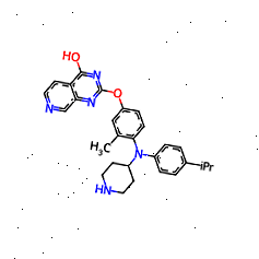 Cc1cc(Oc2nc(O)c3ccncc3n2)ccc1N(c1ccc(C(C)C)cc1)C1CCNCC1